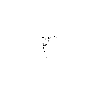 [Ir].[Ir].[Ir].[Ta].[Ta].[Ta]